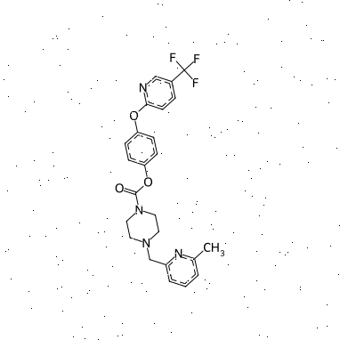 Cc1cccc(CN2CCN(C(=O)Oc3ccc(Oc4ccc(C(F)(F)F)cn4)cc3)CC2)n1